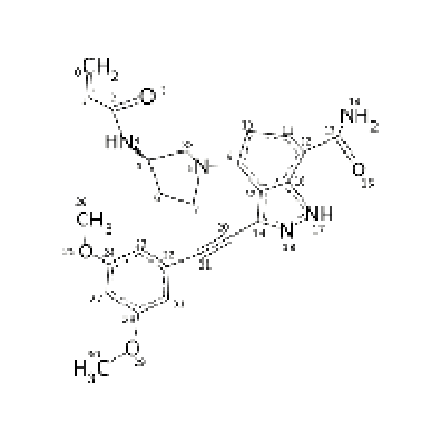 C=CC(=O)N[C@@H]1CCN(c2ccc(C(N)=O)c3[nH]nc(C#Cc4cc(OC)cc(OC)c4)c23)C1